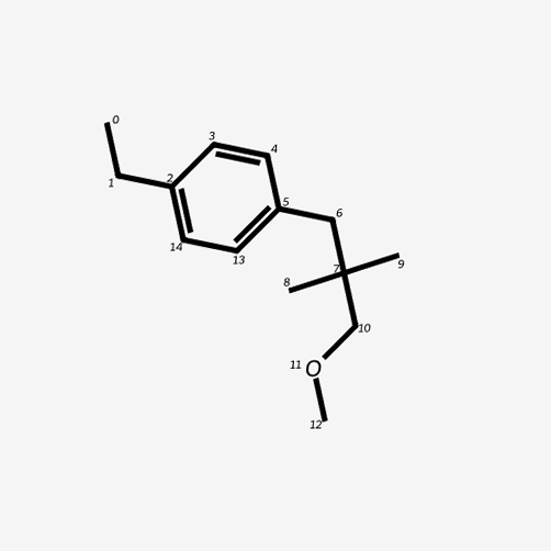 CCc1ccc(CC(C)(C)COC)cc1